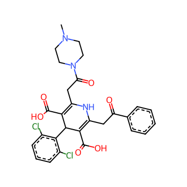 CN1CCN(C(=O)CC2=C(C(=O)O)C(c3c(Cl)cccc3Cl)C(C(=O)O)=C(CC(=O)c3ccccc3)N2)CC1